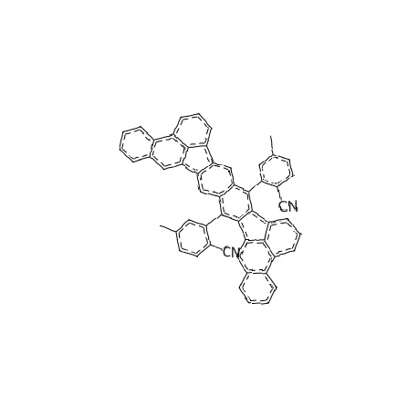 Cc1ccc(C#N)c(-c2c3cc4c(cc3c(-c3cc(C)ccc3C#N)c3c5cc6ccccc6c6cccc(c23)c65)c2cc3ccccc3c3cccc4c32)c1